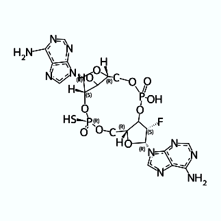 Nc1ncnc2c1ncn2[C@@H]1O[C@@H]2CO[P@@](=O)(S)O[C@H]3C(O)[C@@H](COP(=O)(O)OC2[C@@H]1F)O[C@H]3n1cnc2c(N)ncnc21